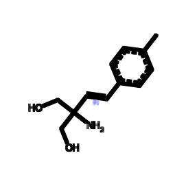 Cc1ccc(/C=C/C(N)(CO)CO)cc1